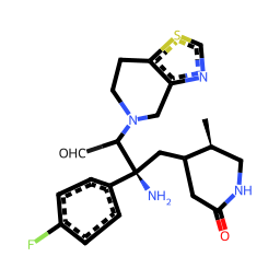 C[C@H]1CNC(=O)CC1C[C@](N)(c1ccc(F)cc1)C(C=O)N1CCc2scnc2C1